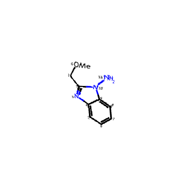 COCc1nc2ccccc2n1N